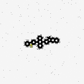 CC1(C)c2cc(-c3c4ccccc4c(-c4ccc5c(c4)sc4ccccc45)c4ccccc34)ccc2-c2cc3ccccc3cc21